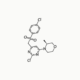 C[C@H]1COCCN1c1cc(CS(=O)(=O)c2ccc(Cl)cc2)nc(Cl)n1